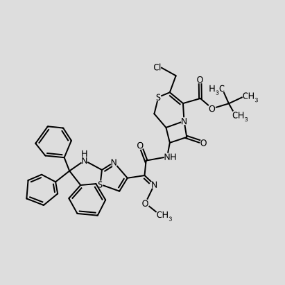 CON=C(C(=O)NC1C(=O)N2C(C(=O)OC(C)(C)C)=C(CCl)SCC12)c1csc(NC(c2ccccc2)(c2ccccc2)c2ccccc2)n1